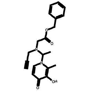 C#CCN(CC(=O)OCc1ccccc1)C(C)n1ccc(=O)c(O)c1C